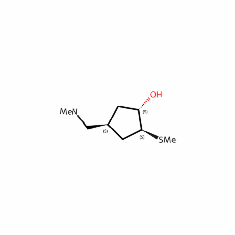 CNC[C@@H]1C[C@H](SC)[C@@H](O)C1